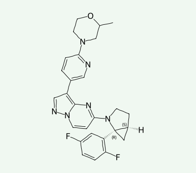 CC1CN(c2ccc(-c3cnn4ccc(N5CC[C@H]6C[C@]65c5cc(F)ccc5F)nc34)cn2)CCO1